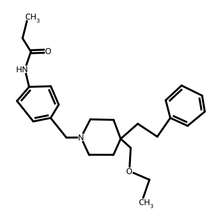 CCOCC1(CCc2ccccc2)CCN(Cc2ccc(NC(=O)CC)cc2)CC1